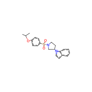 CC(C)Oc1ccc(S(=O)(=O)N2CCC(n3ccc4ccccc43)C2)cc1